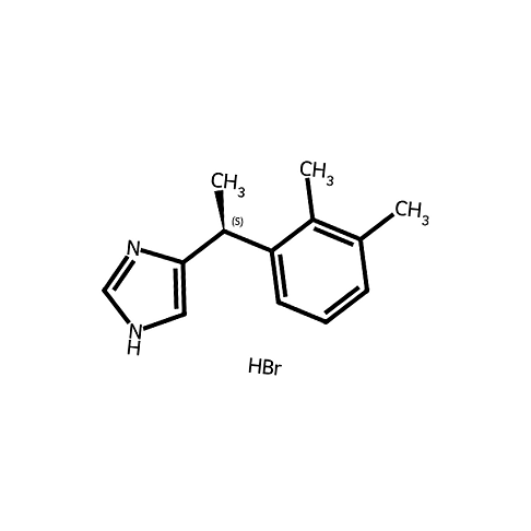 Br.Cc1cccc([C@H](C)c2c[nH]cn2)c1C